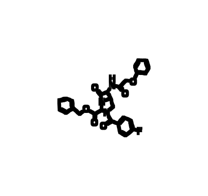 O=C(COc1ccccc1)N[C@@H]1C(=O)N2C1CN(C(=O)c1ccc(F)cc1)C2C(=O)OCc1ccccc1